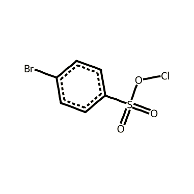 O=S(=O)(OCl)c1ccc(Br)cc1